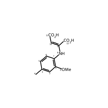 COc1cc(C)ccc1NC(=CC(=O)O)C(=O)O